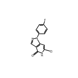 O=c1[nH]c(Cl)cc2c1cnn2-c1ccc(F)cc1